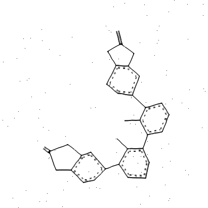 O=C1Cc2ccc(-c3cccc(-c4cccc(-c5ccc6c(c5)CC(=O)C6)c4Cl)c3Cl)cc2C1